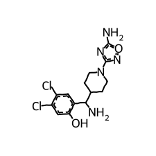 Nc1nc(N2CCC(C(N)c3cc(Cl)c(Cl)cc3O)CC2)no1